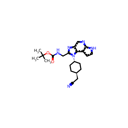 CC(C)(C)OC(=O)NCc1nc2cnc3[nH]ccc3c2n1[C@H]1CC[C@H](CC#N)CC1